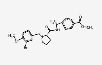 COC(=O)c1ccc([C@H](C)NC(=O)[C@H]2CCCN2Cc2ccc(OC)c(Br)c2)cc1